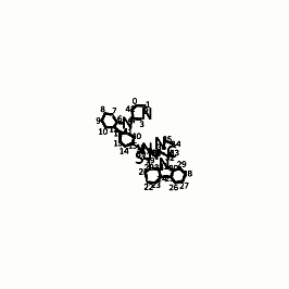 c1cncc(-n2c3ccccc3c3ccc(-c4nnc(-c5cccc6c7ccccc7n(-c7cccnc7)c56)s4)cc32)c1